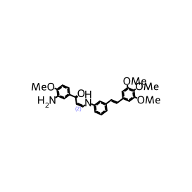 COc1ccc(C(=O)/C=C\Nc2cccc(C=Cc3cc(OC)c(OC)c(OC)c3)c2)cc1N